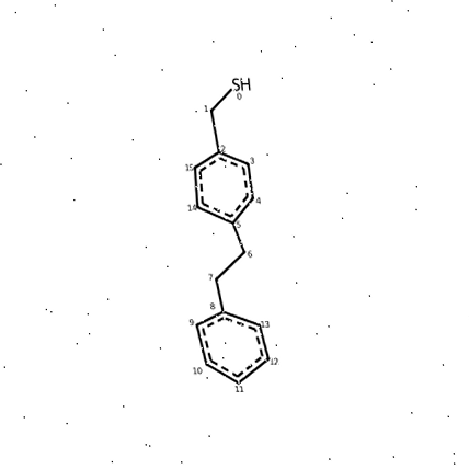 SCc1ccc(CCc2ccccc2)cc1